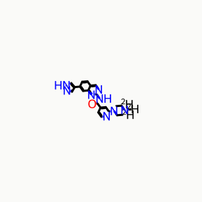 [2H]C([2H])([2H])N1CCN(c2cc(C(=O)Nc3ncc4ccc(-c5cn[nH]c5)cc4n3)ccn2)CC1